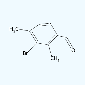 Cc1ccc(C=O)c(C)c1Br